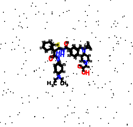 CCN(CC)c1ccc(NC(=O)C2C3=C(CCCC3)SC2NC(=O)c2cccc(CN(C3CC3)C3CCN(CC(=O)O)CC3)c2)cc1